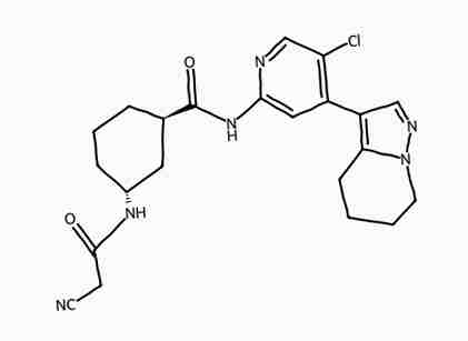 N#CCC(=O)N[C@@H]1CCC[C@@H](C(=O)Nc2cc(-c3cnn4c3CCCC4)c(Cl)cn2)C1